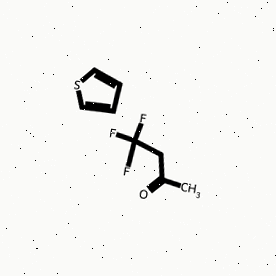 CC(=O)CC(F)(F)F.c1ccsc1